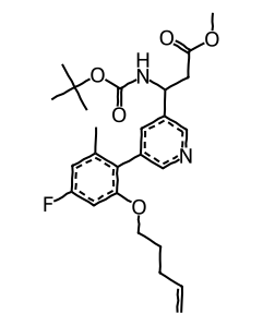 C=CCCCOc1cc(F)cc(C)c1-c1cncc(C(CC(=O)OC)NC(=O)OC(C)(C)C)c1